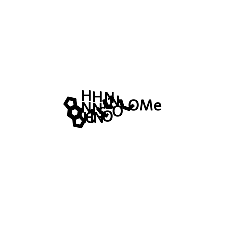 COCC1Cn2ncc(S(=N)(=O)NC(=O)Nc3c4c(cc5c3CCC5)CCC4)c2O1